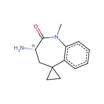 CN1C(=O)[C@@H](N)CC2(CC2)c2ccccc21